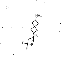 Cl.NC1CC2(C1)CC(NCC(F)(F)F)C2